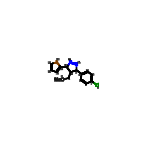 COCC1C(c2ccc(Cl)cc2)N=NC1c1cccs1